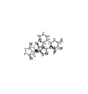 Cc1cc(N2C[C@H]3CC[C@@H](C2)C3Nc2nc3c(-c4cc(F)c(F)c(F)c4)cccn3n2)sn1